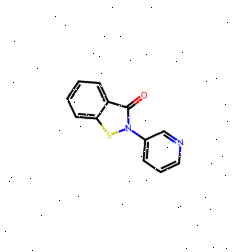 O=c1c2ccccc2sn1-c1cccnc1